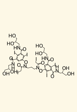 O=C(NCC(O)CO)c1cc(ON(CCCN(Oc2cc(C(=O)NCC(O)CO)c(I)c(C(=O)NCC(O)CO)c2I)C(=O)CI)C(=O)CI)c(I)c(C(=O)NCC(O)CO)c1I